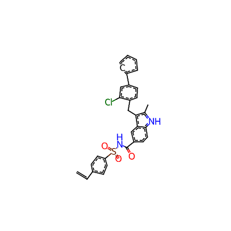 C=Cc1ccc(S(=O)(=O)NC(=O)c2ccc3[nH]c(C)c(Cc4ccc(-c5ccccc5)cc4Cl)c3c2)cc1